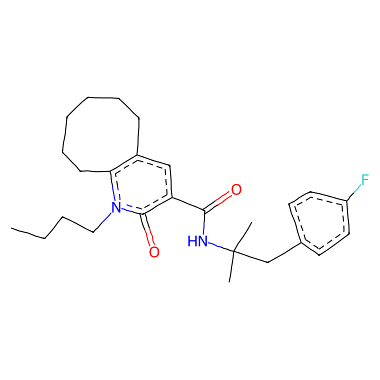 CCCCn1c2c(cc(C(=O)NC(C)(C)Cc3ccc(F)cc3)c1=O)CCCCCC2